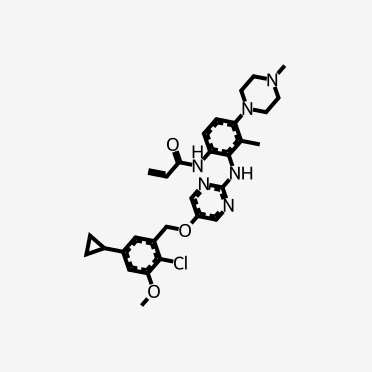 C=CC(=O)Nc1ccc(N2CCN(C)CC2)c(C)c1Nc1ncc(OCc2cc(C3CC3)cc(OC)c2Cl)cn1